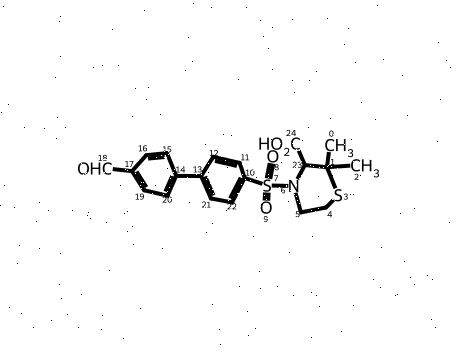 CC1(C)SCCN(S(=O)(=O)c2ccc(-c3ccc(C=O)cc3)cc2)C1C(=O)O